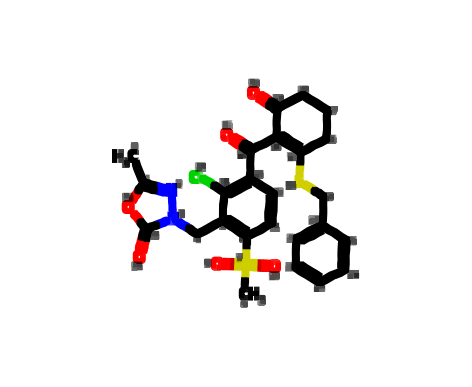 Cc1nn(Cc2c(S(C)(=O)=O)ccc(C(=O)C3=C(SCc4ccccc4)CCCC3=O)c2Cl)c(=O)o1